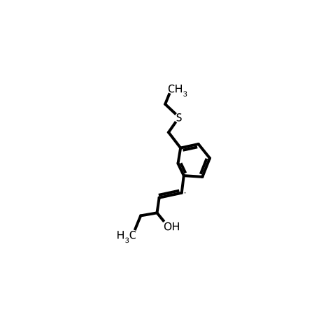 CCSCc1cccc(/[C]=C/C(O)CC)c1